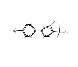 Nc1ccc(-c2ccc(C(F)(F)F)c(F)c2)cc1